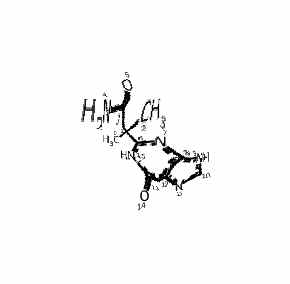 CC(C)(C(N)=O)c1nc2[nH]cnc2c(=O)[nH]1